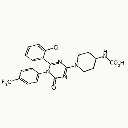 O=C(O)NC1CCN(c2nc(-c3ccccc3Cl)n(-c3ccc(C(F)(F)F)cc3)c(=O)n2)CC1